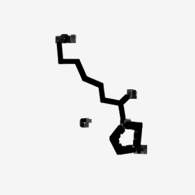 CCCCCCCCCCCCCC(CC)[n+]1cc[nH]c1.[Cl-]